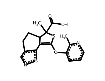 Cc1ncccc1OC1=C2c3sncc3CCC2C(C)(C(=O)O)S1